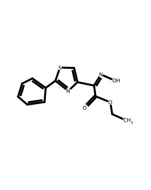 CCOC(=O)C(=NO)c1csc(-c2ccccc2)n1